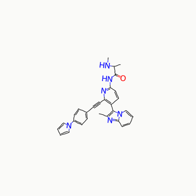 CNC(C)C(=O)Nc1ccc(-c2c(C)nc3ccccn23)c(C#Cc2ccc(-n3cccc3)cc2)n1